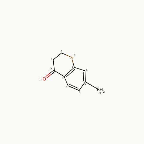 Bc1ccc2c(c1)SCCC2=O